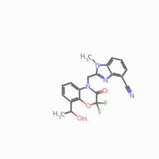 CC(O)c1cccc2c1OC(F)(F)C(=O)N2Cc1nc2c(C#N)cccc2n1C